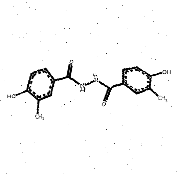 Cc1cc(C(=O)NNC(=O)c2ccc(O)c(C)c2)ccc1O